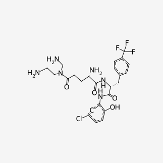 NCCN(CN)C(=O)CC[C@H](N)C(=O)N[C@H](Cc1ccc(C(F)(F)F)cc1)C(=O)Nc1cc(Cl)ccc1O